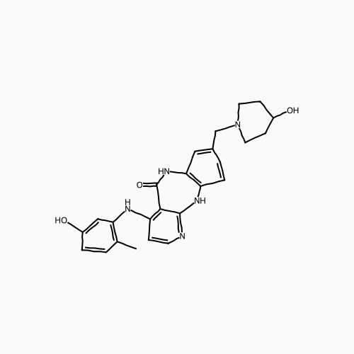 Cc1ccc(O)cc1Nc1ccnc2c1C(=O)Nc1cc(CN3CCC(O)CC3)ccc1N2